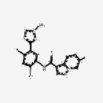 Cc1cc(F)c(-c2nnn(C)n2)cc1NC(=O)c1cnn2cc(F)ccc12